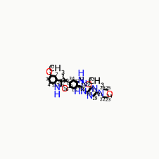 COc1ccc2c(c1)[C@]1(C[C@H]1c1ccc3c(Nc4ncc(N5CCOCC5)nc4OC)n[nH]c3c1)C(=O)N2